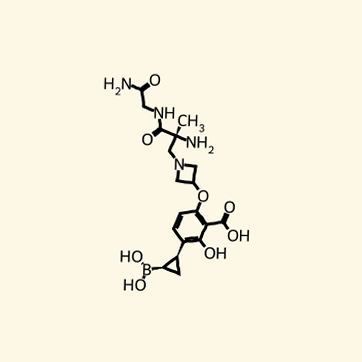 C[C@@](N)(CN1CC(Oc2ccc([C@H]3C[C@H]3B(O)O)c(O)c2C(=O)O)C1)C(=O)NCC(N)=O